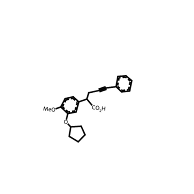 COc1ccc(C(CC#Cc2ccccc2)C(=O)O)cc1OC1CCCC1